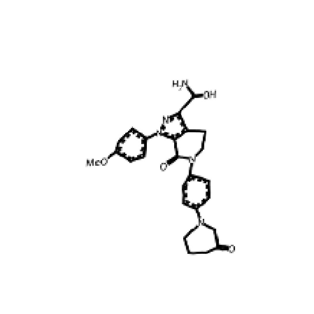 COc1ccc(-n2nc(C(N)O)c3c2C(=O)N(c2ccc(N4CCCC(=O)C4)cc2)CC3)cc1